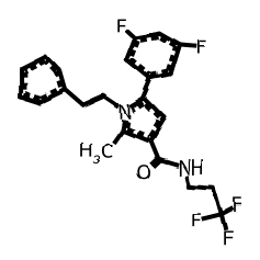 Cc1c(C(=O)NCCC(F)(F)F)cc(-c2cc(F)cc(F)c2)n1CCc1ccccc1